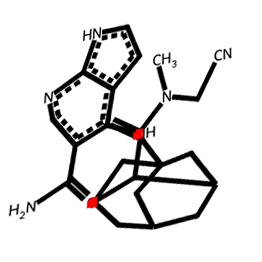 CN(CC#N)C(=O)C12CC3CC(C1)C(Nc1c(C(N)=O)cnc4[nH]ccc14)C(C3)C2